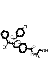 CC[C@@H](c1ccccc1)N(Cc1ccc(C(=O)N[C@H](C)CO)cc1)S(=O)(=O)c1ccc(Cl)cc1